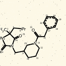 CC(C)CC1(C)NC(=N)N(CC2CCCN(C(=O)Cc3ccccc3)C2)C1=O